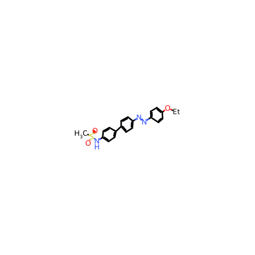 CCOc1ccc(N=Nc2ccc(-c3ccc(NS(C)(=O)=O)cc3)cc2)cc1